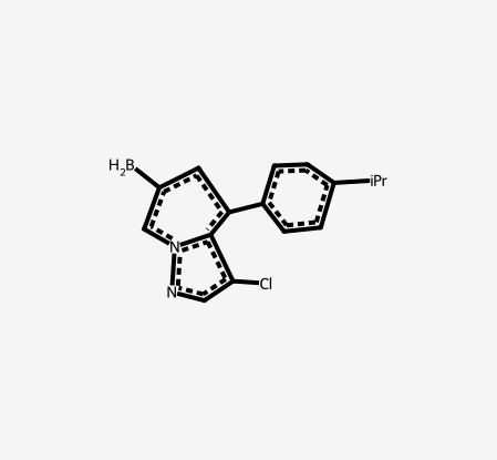 Bc1cc(-c2ccc(C(C)C)cc2)c2c(Cl)cnn2c1